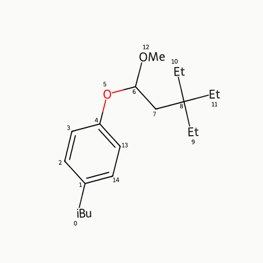 CCC(C)c1ccc(OC(CC(CC)(CC)CC)OC)cc1